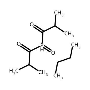 CC(C)C(=O)[PH](=O)C(=O)C(C)C.CCCC